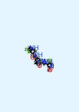 COc1cc(-c2cc(C(=O)N3CC[C@H](C(=O)N[C@H]4CC[C@]5(CC4)NCC5(F)F)CC34CC4)n[nH]2)c(F)cn1